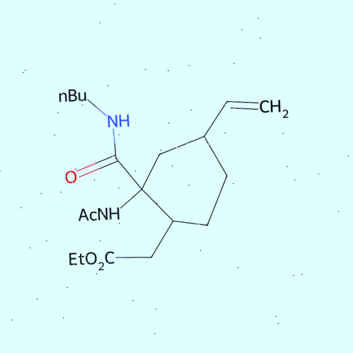 C=CC1CCC(CC(=O)OCC)C(NC(C)=O)(C(=O)NCCCC)C1